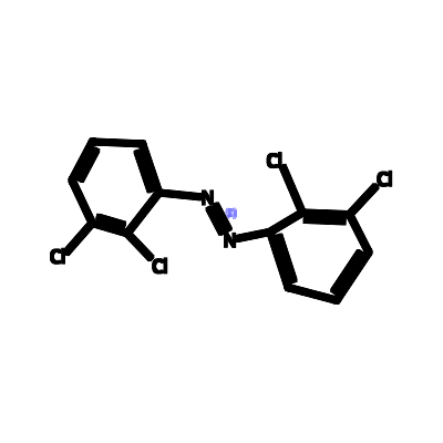 Clc1cccc(/N=N/c2cccc(Cl)c2Cl)c1Cl